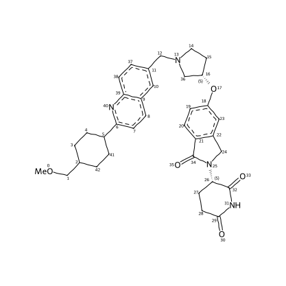 COCC1CCC(c2ccc3cc(CN4CC[C@H](Oc5ccc6c(c5)CN([C@H]5CCC(=O)NC5=O)C6=O)C4)ccc3n2)CC1